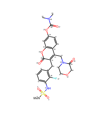 CNS(=O)(=O)Nc1cccc(Cc2c(CN3CCOCC3=O)c3ccc(OC(=O)N(C)C)cc3oc2=O)c1F